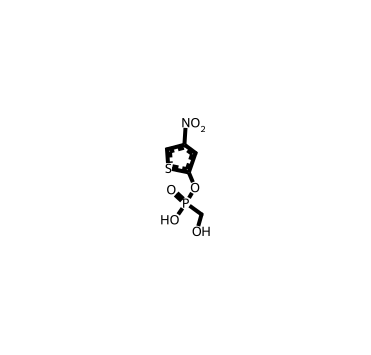 O=[N+]([O-])c1csc(OP(=O)(O)CO)c1